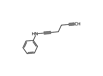 C#CCCC#CNc1ccccc1